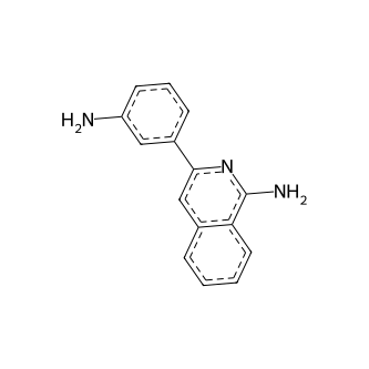 Nc1cccc(-c2cc3ccccc3c(N)n2)c1